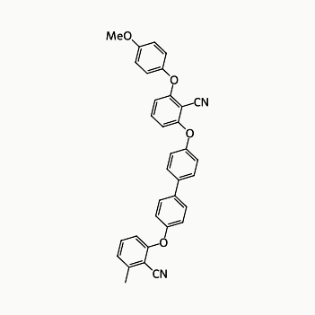 COc1ccc(Oc2cccc(Oc3ccc(-c4ccc(Oc5cccc(C)c5C#N)cc4)cc3)c2C#N)cc1